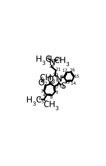 COc1cc(C(C)C)ccc(C2Sc3ccccc3N2CCCN(C)C)c1=O